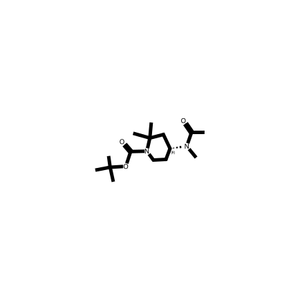 CC(=O)N(C)[C@@H]1CCN(C(=O)OC(C)(C)C)C(C)(C)C1